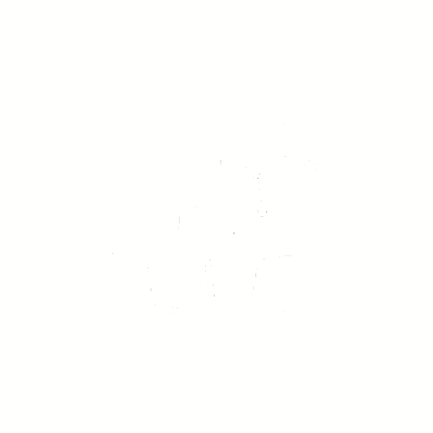 C=C(C)C(=O)OC1(C2CCCC2)CCc2c(F)cccc21